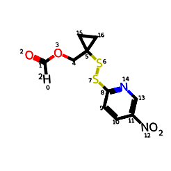 [2H]C(=O)OCC1(SSc2ccc([N+](=O)[O-])cn2)CC1